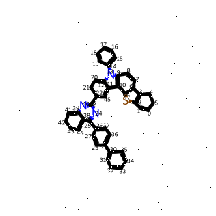 C1=CC2=C(CC1)C1C=Cc3c(c4c(n3-c3ccccc3)=CCC(c3nc(-c5ccc(-c6ccccc6)cc5)c5c(n3)=CCCC=5)C=4)C1S2